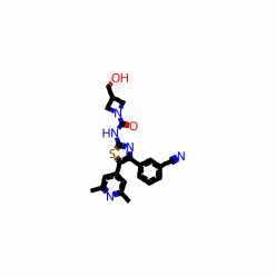 Cc1cc(-c2sc(NC(=O)N3CC(CO)C3)nc2-c2cccc(C#N)c2)cc(C)n1